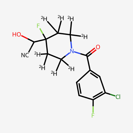 [2H]C1([2H])N(C(=O)c2ccc(F)c(Cl)c2)C([2H])([2H])C([2H])([2H])C(F)(C(O)C#N)C1([2H])[2H]